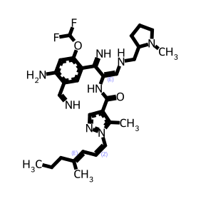 CCC/C(C)=C/C=C\n1ncc(C(=O)N/C(=C/NCC2CCCN2C)C(=N)c2cc(C=N)c(N)cc2OC(F)F)c1C